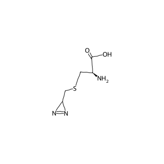 N[C@@H](CSCC1N=N1)C(=O)O